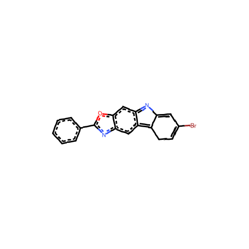 BrC1=CCC2=c3cc4nc(-c5ccccc5)oc4cc3=NC2=C1